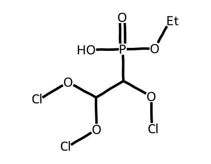 CCOP(=O)(O)C(OCl)C(OCl)OCl